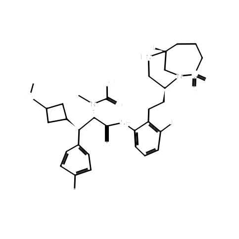 COC1CC([C@H](c2ccc(F)cc2)[C@@H](C(=O)Nc2cccc(F)c2CC[C@H]2CN[C@@H]3CCCS(=O)(=O)N2C3)N(C)C(=O)O)C1